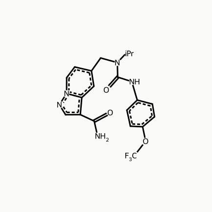 CC(C)N(Cc1ccn2ncc(C(N)=O)c2c1)C(=O)Nc1ccc(OC(F)(F)F)cc1